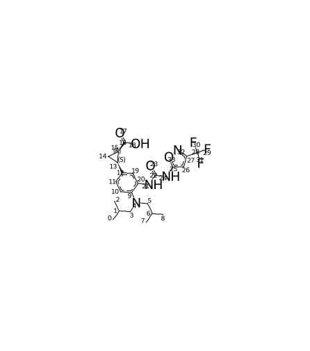 CC(C)CN(CC(C)C)c1ccc([C@H]2C[C@H]2C(=O)O)cc1NC(=O)Nc1cc(C(F)(F)F)no1